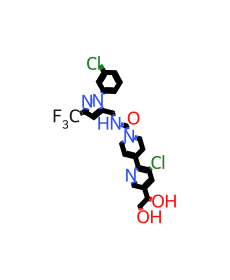 O=C(NCc1cc(C(F)(F)F)nn1-c1cccc(Cl)c1)N1CC=C(c2ncc(C(O)CO)cc2Cl)CC1